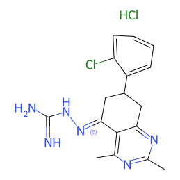 Cc1nc(C)c2c(n1)CC(c1ccccc1Cl)C/C2=N\NC(=N)N.Cl